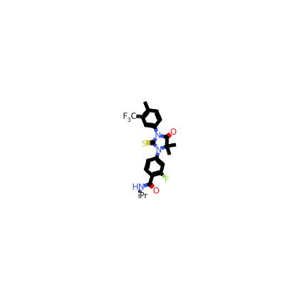 Cc1ccc(N2C(=O)C(C)(C)N(c3ccc(C(=O)NC(C)C)c(F)c3)C2=S)cc1C(F)(F)F